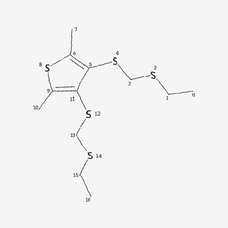 CCSCSc1c(C)sc(C)c1SCSCC